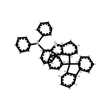 c1ccc(N(c2ccccc2)c2cccc3c2oc2cccc(C4(c5ccccc5)c5ccccc5-c5ccccc54)c23)cc1